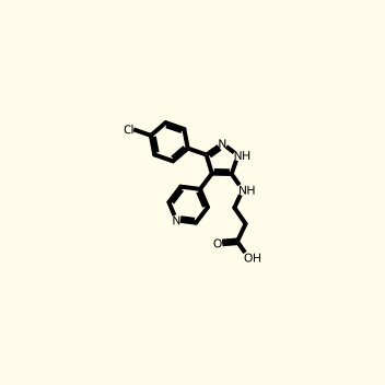 O=C(O)CCNc1[nH]nc(-c2ccc(Cl)cc2)c1-c1ccncc1